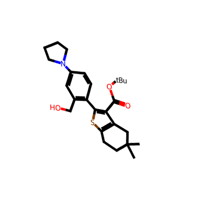 CC1(C)CCc2sc(-c3ccc(N4CCCC4)cc3CO)c(C(=O)OC(C)(C)C)c2C1